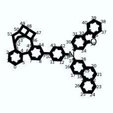 c1ccc2c(c1)-c1ccc(-c3ccc(N(c4ccc5c(ccc6ccccc65)c4)c4ccc5c(c4)oc4ccccc45)cc3)cc1C1CC3CC4CC2CC431